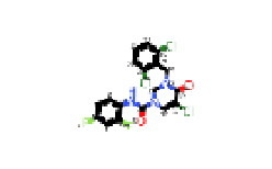 O=C(Nc1ccc(F)cc1F)N1C=C(Cl)C(=O)N(Cc2c(Cl)cccc2Cl)C1